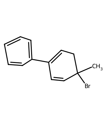 CC1(Br)C=CC(c2ccccc2)=CC1